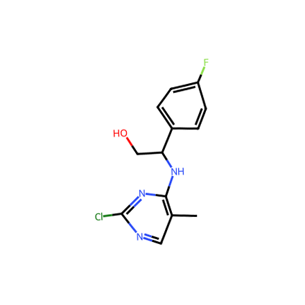 Cc1cnc(Cl)nc1NC(CO)c1ccc(F)cc1